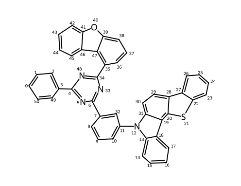 c1ccc(-c2nc(-c3cccc(-n4c5ccccc5c5c6sc7ccccc7c6ccc54)c3)nc(-c3cccc4oc5ccccc5c34)n2)cc1